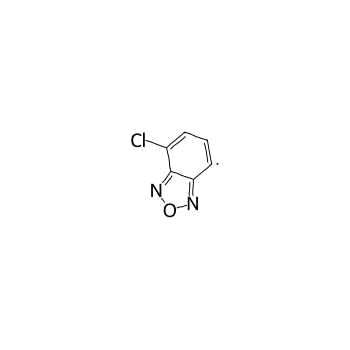 Clc1cc[c]c2nonc12